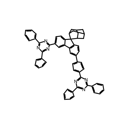 c1ccc(-c2nc(-c3ccccc3)nc(-c3ccc(-c4ccc5c(c4)-c4cc(-c6nc(-c7ccccc7)nc(-c7ccccc7)n6)ccc4C54C5CC6CC(C5)CC4C6)cc3)n2)cc1